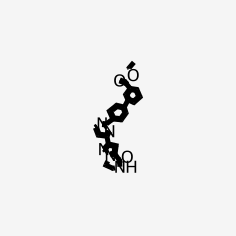 CCOC(=O)c1cccc(-c2ccc(-c3nccc(-c4cc5n(n4)CCNC5=O)n3)cc2)c1